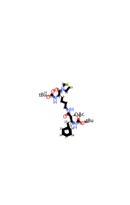 CC(=O)O[C@@H](C(=O)NCCCC[C@H](NC(=O)OC(C)(C)C)C(=O)N1CCSC1)[C@@H](Cc1ccccc1)NC(=O)OC(C)(C)C